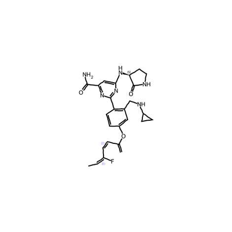 C=C(/C=C\C(F)=C/C)Oc1ccc(-c2nc(N[C@H]3CCNC3=O)cc(C(N)=O)n2)c(CNC2CC2)c1